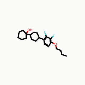 CCCCOc1ccc(C2CCC(C3(O)CCCCC3)CC2)c(F)c1F